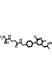 CCC/C(C)=C\c1cn(-c2ccc(CNC(=O)CCNC(=N)N)cc2)c(=O)nc1C